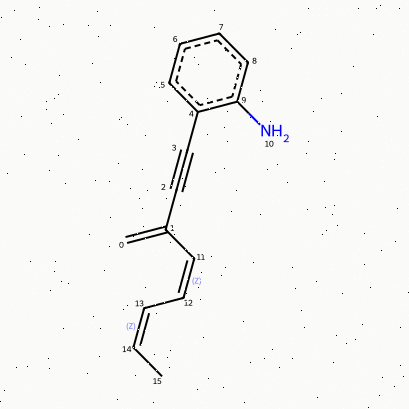 C=C(C#Cc1ccccc1N)/C=C\C=C/C